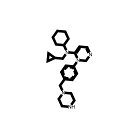 C1=NCN(c2ccc(CN3CCNCC3)cc2)C(N(CC2CC2)C2CCCCC2)=C1